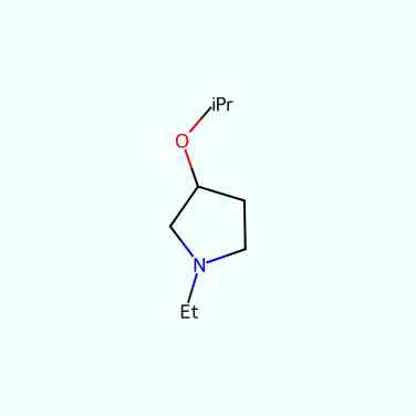 CCN1CCC(OC(C)C)C1